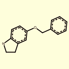 c1ccc(COc2ccc3c(c2)CC[N]3)cc1